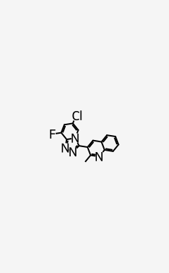 Cc1nc2ccccc2cc1-c1nnc2c(F)cc(Cl)cn12